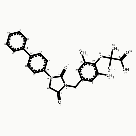 Cc1cc(CN2C(=O)CN(c3ccc(-c4ccccc4)cc3)C2=O)cc(C)c1OC(C)(C)C(=O)O